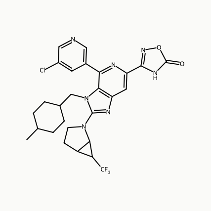 CC1CCC(Cn2c(N3CCC4C3C4C(F)(F)F)nc3cc(-c4noc(=O)[nH]4)nc(-c4cncc(Cl)c4)c32)CC1